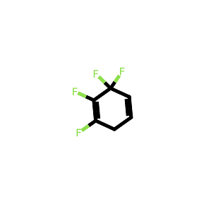 FC1=C(F)C(F)(F)C=CC1